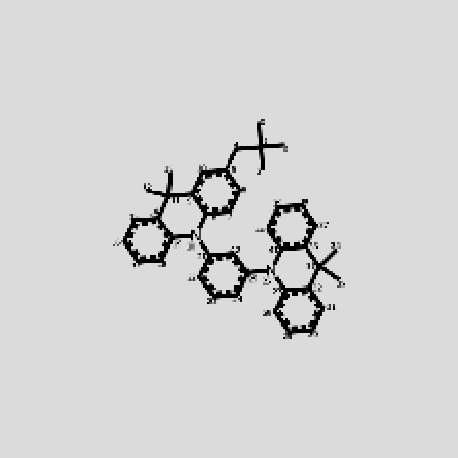 CC(C)(C)Cc1ccc2c(c1)C(C)(C)c1ccccc1N2c1cccc(N2c3ccccc3C(C)(C)c3ccccc32)c1